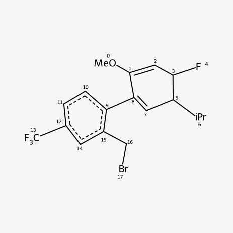 COC1=CC(F)C(C(C)C)C=C1c1ccc(C(F)(F)F)cc1CBr